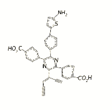 C#C/C=C(\C#C)c1nc(-c2ccc(C(=O)O)cc2)c(-c2ccc(-c3ccc(N)s3)cc2)nc1-c1ccc(C(=O)O)cc1